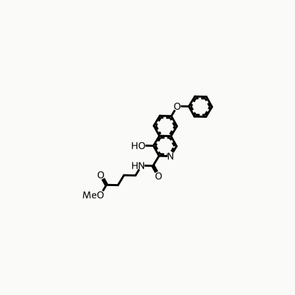 COC(=O)CCCNC(=O)c1ncc2cc(Oc3ccccc3)ccc2c1O